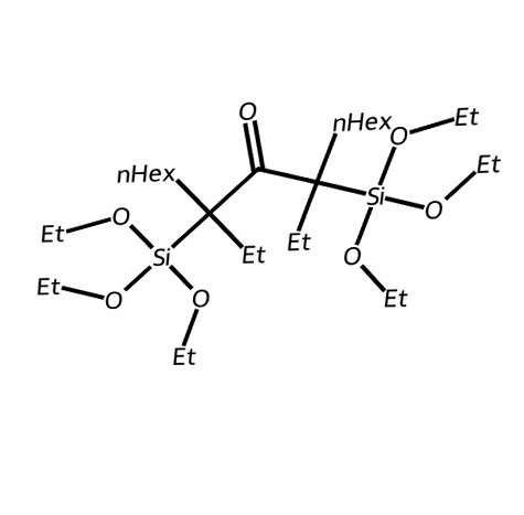 CCCCCCC(CC)(C(=O)C(CC)(CCCCCC)[Si](OCC)(OCC)OCC)[Si](OCC)(OCC)OCC